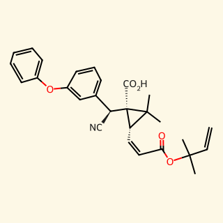 C=CC(C)(C)OC(=O)/C=C\[C@H]1C(C)(C)[C@]1(C(=O)O)[C@@H](C#N)c1cccc(Oc2ccccc2)c1